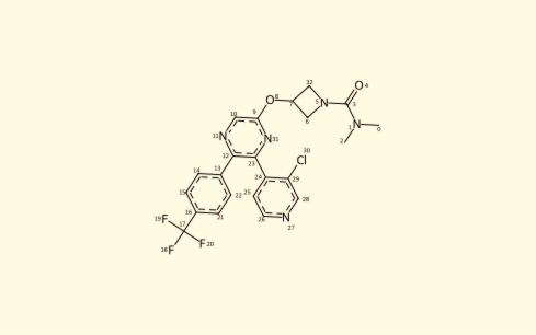 CN(C)C(=O)N1CC(Oc2cnc(-c3ccc(C(F)(F)F)cc3)c(-c3ccncc3Cl)n2)C1